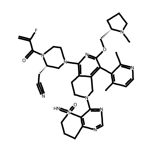 C=C(F)C(=O)N1CCN(c2nc(OC[C@@H]3CCCN3C)c(-c3c(C)ccnc3C)c3c2CCN(c2ncnc4c2S(=N)(=O)CCC4)C3)C[C@@H]1CC#N